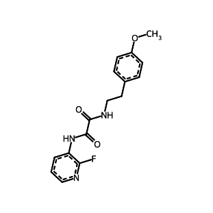 COc1ccc(CCNC(=O)C(=O)Nc2cccnc2F)cc1